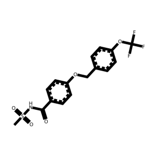 CS(=O)(=O)NC(=O)c1ccc(OCc2ccc(OC(F)(F)F)cc2)cc1